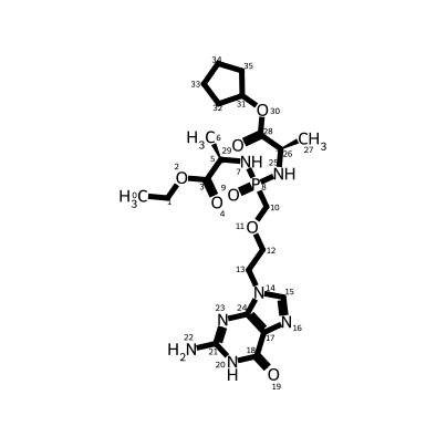 CCOC(=O)[C@@H](C)NP(=O)(COCCn1cnc2c(=O)[nH]c(N)nc21)N[C@H](C)C(=O)OC1CCCC1